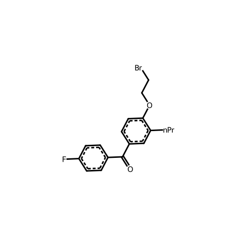 CCCc1cc(C(=O)c2ccc(F)cc2)ccc1OCCBr